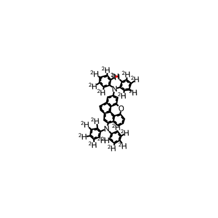 [2H]c1c([2H])c([2H])c(N(c2cc3c4c(ccc5cc(N(c6c([2H])c([2H])c([2H])c([2H])c6[2H])c6c([2H])c([2H])c([2H])c([2H])c6[2H])c6cccc(c6c54)O3)c2)c2c([2H])c([2H])c([2H])c([2H])c2[2H])c([2H])c1[2H]